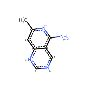 Cc1cc2ncncc2c(N)n1